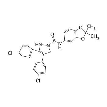 CC1(C)Oc2ccc(NC(=O)N3CC(c4ccc(Cl)cc4)=C(c4ccc(Cl)cc4)N3)cc2O1